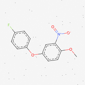 COc1ccc(Oc2ccc(F)cc2)cc1[N+](=O)[O-]